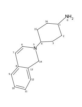 NC1CCC(N2C=Cc3ccccc3C2)CC1